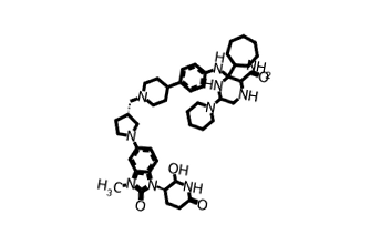 Cn1c(=O)n([C@@H]2CCC(=O)NC2O)c2ccc(N3CC[C@H](CN4CCC(c5ccc(NC6(C7CCCCCC7)NC(N7CCCCC7)CNC6C(N)=O)cc5)CC4)C3)cc21